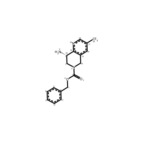 N[C@H]1CN(C(=O)OCc2ccccc2)Cc2cc(C(F)(F)F)cnc21